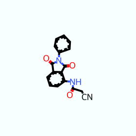 N#CCC(=O)Nc1cccc2c1C(=O)N(c1ccccc1)C2=O